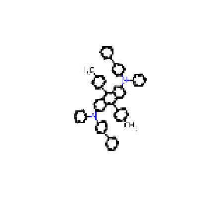 Cc1ccc(-c2c3ccc(N(c4ccccc4)c4ccc(-c5ccccc5)cc4)cc3c(-c3ccc(C)cc3)c3ccc(N(c4ccccc4)c4ccc(-c5ccccc5)cc4)cc23)cc1